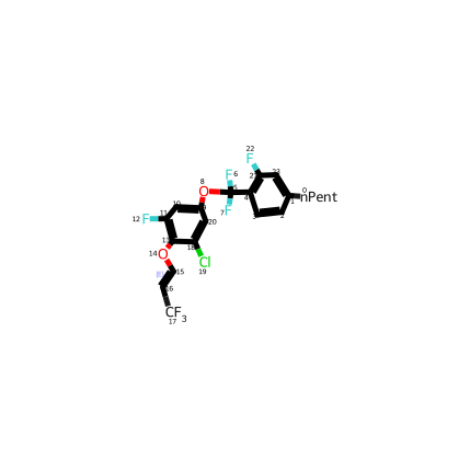 CCCCCc1ccc(C(F)(F)Oc2cc(F)c(O/C=C/C(F)(F)F)c(Cl)c2)c(F)c1